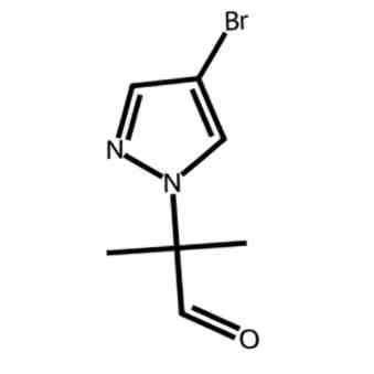 CC(C)(C=O)n1cc(Br)cn1